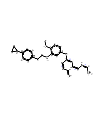 COc1ncc(OC(/C=C\C=O)=C/C=C\N=C/N)cc1OCCc1ccc(C2CC2)cc1